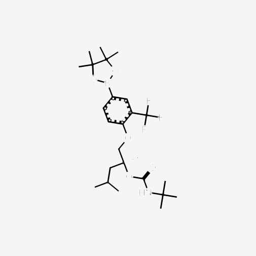 CC(C)C[C@@](C)(COc1ccc(B2OC(C)(C)C(C)(C)O2)cc1C(F)(F)F)OC(=O)NC(C)(C)C